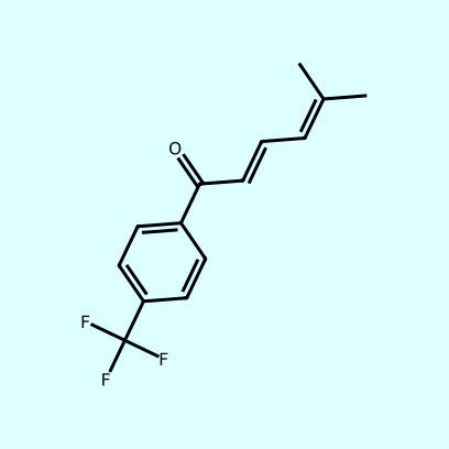 CC(C)=CC=CC(=O)c1ccc(C(F)(F)F)cc1